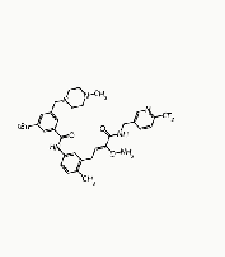 Cc1ccc(NC(=O)c2cc(CN3CCN(C)CC3)cc(C(C)(C)C)c2)cc1C/C=C(\ON)C(=O)NCc1ccc(C(F)(F)F)nc1